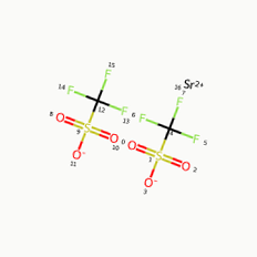 O=S(=O)([O-])C(F)(F)F.O=S(=O)([O-])C(F)(F)F.[Sr+2]